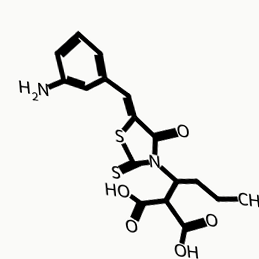 CCCC(C(C(=O)O)C(=O)O)N1C(=O)C(=Cc2cccc(N)c2)SC1=S